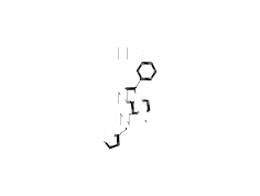 Oc1cccc(-c2cnc3c(NCc4ccco4)nccn23)c1